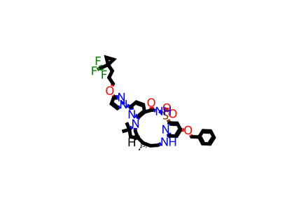 C[C@H]1CCNc2cc(OCc3ccccc3)cc(n2)S(=O)(=O)NC(=O)c2ccc(-n3ccc(OCCCC4(C(F)(F)F)CC4)n3)nc2N2C[C@@H]1CC2(C)C